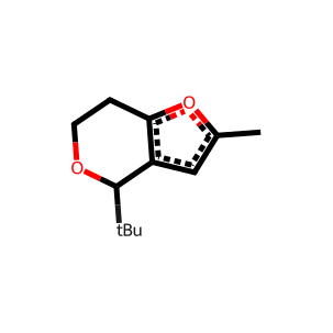 Cc1cc2c(o1)CCOC2C(C)(C)C